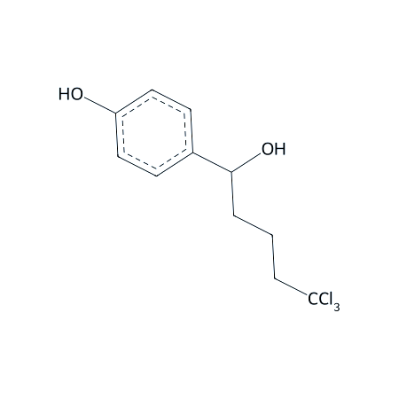 Oc1ccc(C(O)CCCC(Cl)(Cl)Cl)cc1